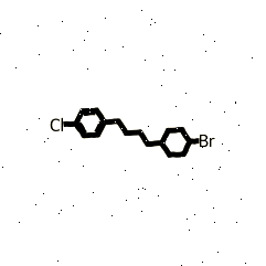 Clc1ccc(CCCCC2CCC(Br)CC2)cc1